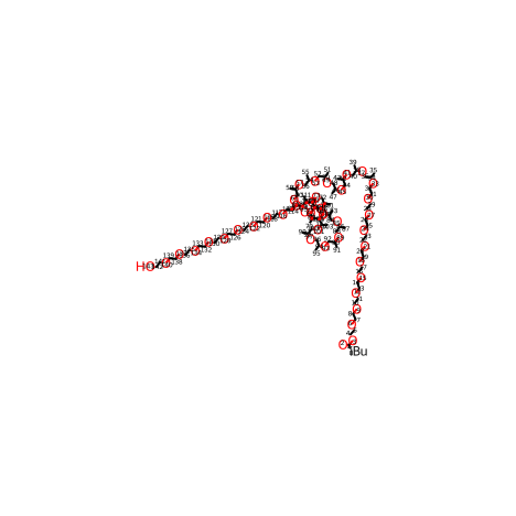 CCC(C)C(=O)OCCOCCOCCOCCOCCOCCOCCOCCOCCOCCOC(C)COC(C)COC(C)COC(C)COC(C)COC(C)COC(C)COC(C)COC(C)COC(C)COC(C)COC(C)COC(C)COC(C)COC(C)COC(C)COC(C)COC(C)COC(C)COC(C)COCCOCCOCCOCCOCCOCCOCCOCCOCCOCCO